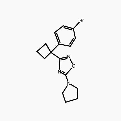 Brc1ccc(C2(c3noc(N4CCCC4)n3)CCC2)cc1